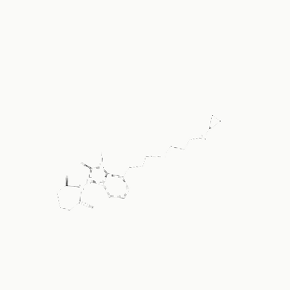 Cn1c(=O)n(N2C(=O)CCCC2=O)c2cccc(CCCOCCCNC3CC3)c21